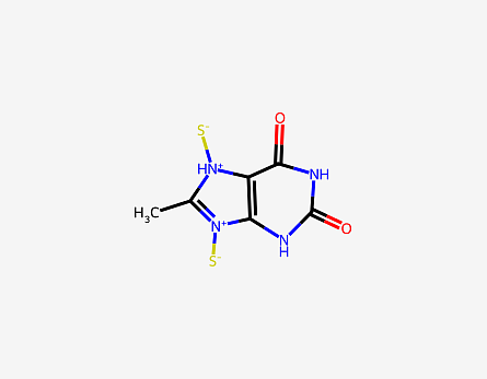 CC1=[N+]([S-])c2[nH]c(=O)[nH]c(=O)c2[NH+]1[S-]